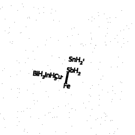 [BiH3].[Cu].[Fe][SbH2].[InH3].[SnH2]